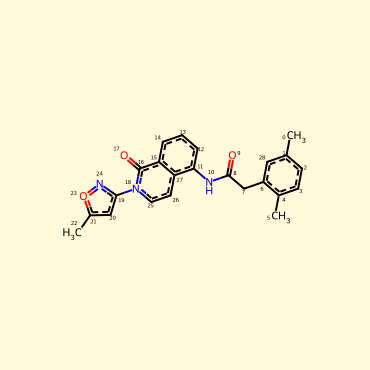 Cc1ccc(C)c(CC(=O)Nc2cccc3c(=O)n(-c4cc(C)on4)ccc23)c1